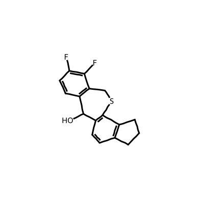 OC1c2ccc(F)c(F)c2CSc2c1ccc1c2CCC1